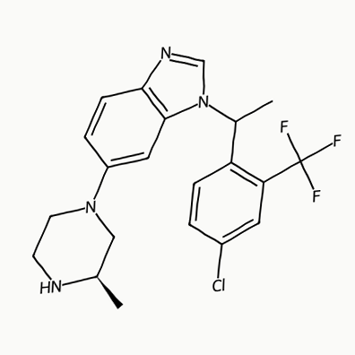 CC(c1ccc(Cl)cc1C(F)(F)F)n1cnc2ccc(N3CCN[C@H](C)C3)cc21